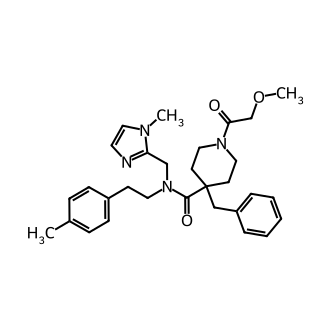 COCC(=O)N1CCC(Cc2ccccc2)(C(=O)N(CCc2ccc(C)cc2)Cc2nccn2C)CC1